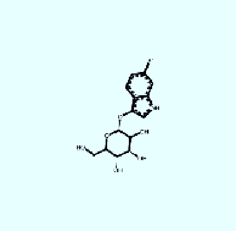 OCC1O[C@@H](Oc2c[nH]c3cc(Br)ccc23)C(O)[C@@H](O)[C@@H]1O